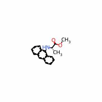 COC(=O)[C@H](C)Nc1c2ccccc2cc2ccccc12